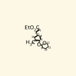 CCOC(=O)/C=C/c1ccc(OC2CCCCO2)c(C)c1